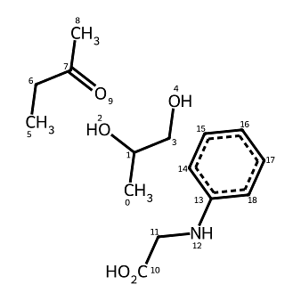 CC(O)CO.CCC(C)=O.O=C(O)CNc1ccccc1